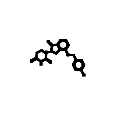 O=C1CC[C@H](N2Cc3c(OCc4ccc(Br)cc4)cccc3C2=O)C(=O)N1